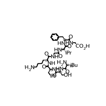 CC[C@H](C)[C@H](N)C(=O)N[C@@H](CO)C(=O)N[C@@H](CC(C)C)C(=O)N[C@@H](CCCCN)C(=O)NCC(=O)N[C@H](C(=O)N[C@@H](Cc1ccccc1)C(=O)NCC(=O)O)C(C)C